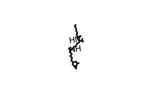 C=CCCCCC(=C)NC(CCCCNC(=C)CCCCCC1CC(C)C2CC2C1)C(=C)C